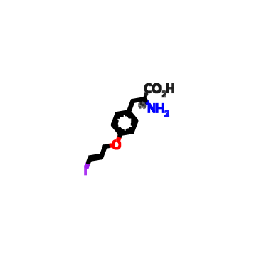 N[C@@H](Cc1ccc(OCC=CI)cc1)C(=O)O